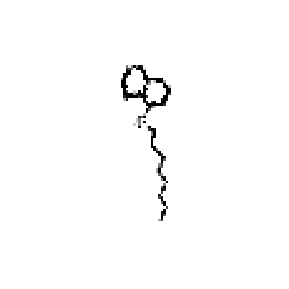 CCCCCCCC[P]c1cccc2ccccc12